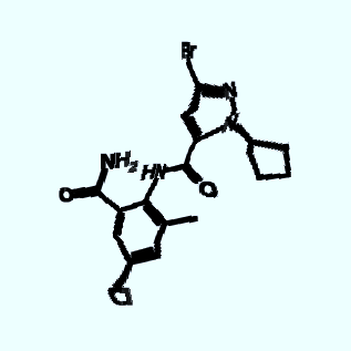 Cc1cc(Cl)cc(C(N)=O)c1NC(=O)c1cc(Br)nn1C1CCC1